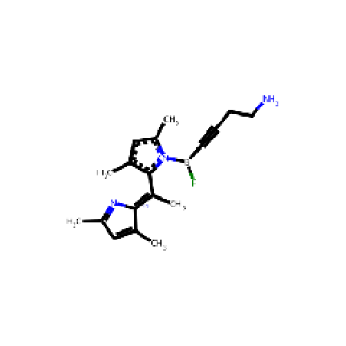 CC1=CC(C)=N/C1=C(/C)c1c(C)cc(C)n1B(F)C#CCCN